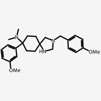 COc1ccc(CN2CNC3(CCC(c4cccc(OC)c4)(N(C)C)CC3)C2)cc1